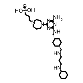 Nc1nc(NC[C@H]2CC[C@H](CNCCCNC3CCCCC3)CC2)nc(N2CCCN(CCCP(=O)(O)O)CC2)n1